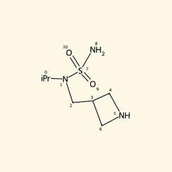 CC(C)N(CC1CNC1)S(N)(=O)=O